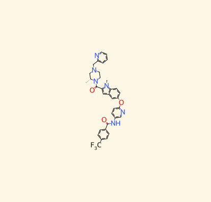 C[C@@H]1CN(Cc2ccccn2)CCN1C(=O)c1cc2cc(Oc3ccc(NC(=O)c4ccc(C(F)(F)F)cc4)cn3)ccc2n1C